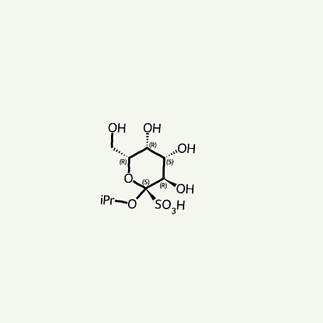 CC(C)O[C@]1(S(=O)(=O)O)O[C@H](CO)[C@H](O)[C@H](O)[C@H]1O